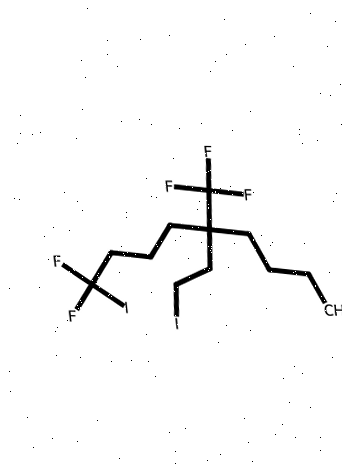 CCCCC(CCI)(CCCC(F)(F)I)C(F)(F)F